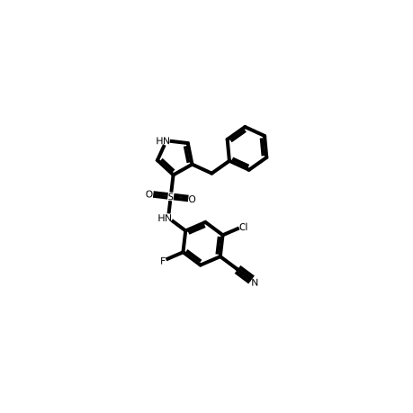 N#Cc1cc(F)c(NS(=O)(=O)c2c[nH]cc2Cc2ccccc2)cc1Cl